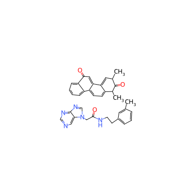 CC1C=c2c(ccc3c2=CC(=O)c2ccccc2-3)C(C)C1=O.Cc1cccc(CCNC(=O)Cn2cnc3ncncc32)c1